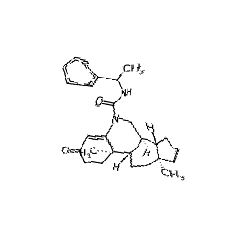 CC(NC(=O)N1C[C@H]2[C@@H]3CCC[C@@]3(C)CC[C@@H]2[C@@]2(C)CCC(=O)C=C12)c1ccccc1